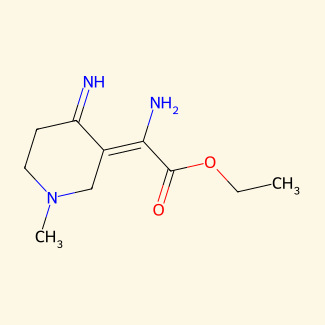 CCOC(=O)/C(N)=C1\CN(C)CCC1=N